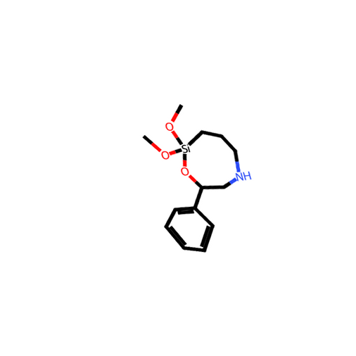 CO[Si]1(OC)CCCNCC(c2ccccc2)O1